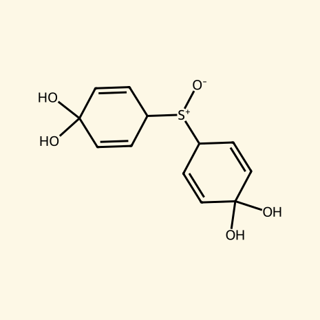 [O-][S+](C1C=CC(O)(O)C=C1)C1C=CC(O)(O)C=C1